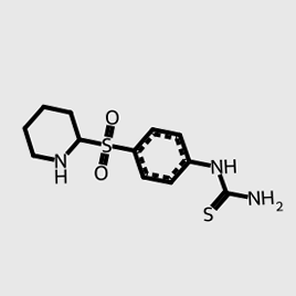 NC(=S)Nc1ccc(S(=O)(=O)C2CCCCN2)cc1